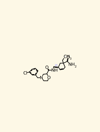 CCC1(C(N)=O)CC=C/C(=C\NC(=O)C2CN(Cc3cccc(Cl)c3)CCO2)C1